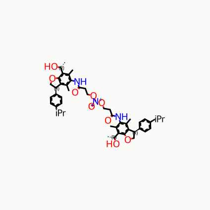 Cc1c(NC(=O)CCO[N+](=O)OCCC(=O)Nc2c(C)c3c(c([C@@H](C)O)c2C)OC[C@@H]3c2ccc(C(C)C)cc2)c(C)c([C@@H](C)O)c2c1[C@@H](c1ccc(C(C)C)cc1)CO2